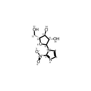 O=[N+]([O-])c1nccn1C1O[C@H](CO)[C@@H](Cl)[C@@H]1O